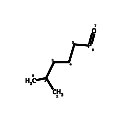 CC(C)CCCP=O